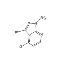 Pn1nc(Br)c2c(Cl)ccnc21